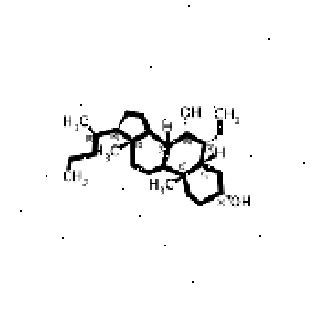 CCC[C@@H](C)[C@H]1CCC2[C@H]3C(CC[C@@]21C)[C@@]1(C)CC[C@@H](O)C[C@H]1[C@@H](CC)[C@H]3O